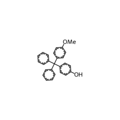 COc1ccc(C(c2ccccc2)(c2ccccc2)c2ccc(O)cc2)cc1